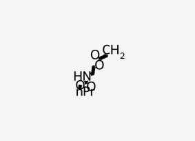 [CH2]CCOC(=O)NCCOC(=O)C=C